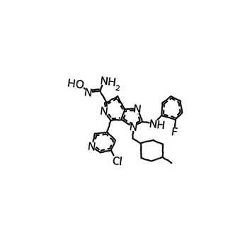 CC1CCC(Cn2c(Nc3ccccc3F)nc3cc(C(N)=NO)nc(-c4cncc(Cl)c4)c32)CC1